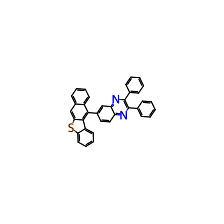 c1ccc(-c2nc3ccc(-c4c5ccccc5cc5sc6ccccc6c45)cc3nc2-c2ccccc2)cc1